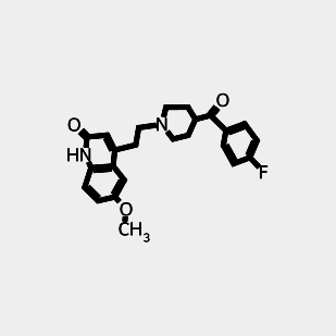 COc1ccc2[nH]c(=O)cc(CCN3CCC(C(=O)c4ccc(F)cc4)CC3)c2c1